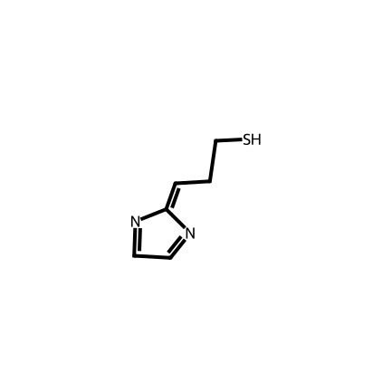 SCCC=C1N=CC=N1